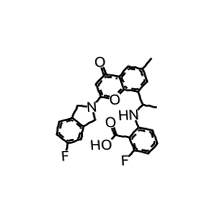 Cc1cc(C(C)Nc2cccc(F)c2C(=O)O)c2oc(N3Cc4ccc(F)cc4C3)cc(=O)c2c1